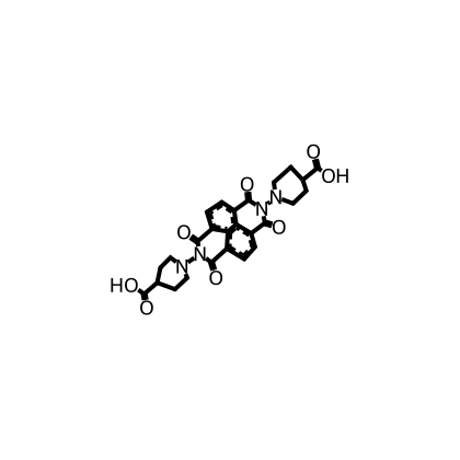 O=C(O)C1CCN(N2C(=O)c3ccc4c5c(ccc(c35)C2=O)C(=O)N(N2CCC(C(=O)O)CC2)C4=O)CC1